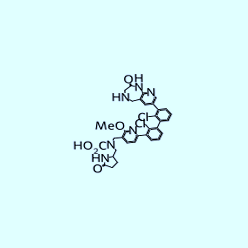 COc1nc(-c2cccc(-c3cccc(-c4cnc5c(c4)CNCC(=O)N5)c3Cl)c2Cl)ccc1CN(CC1CCC(=O)N1)C(=O)O